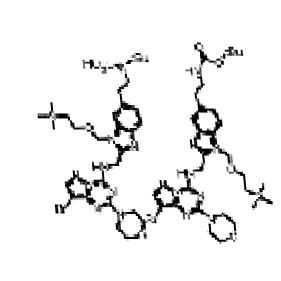 CC(C)(C)N(CCc1ccc2nc(CNc3nc(N4CCOCC4)nc4c(Br)cnn34)n(COCC[Si](C)(C)C)c2c1)C(=O)O.CC(C)(C)OC(=O)NCCc1ccc2c(c1)nc(CNc1nc(N3CCOCC3)nc3c(Br)cnn13)n2COCC[Si](C)(C)C